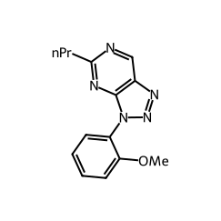 CCCc1ncc2nnn(-c3ccccc3OC)c2n1